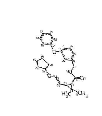 CC1(C)[C@H](C(=O)OCc2cccc(Oc3ccccc3)c2)[C@@H]1C=NOC1CCCC1